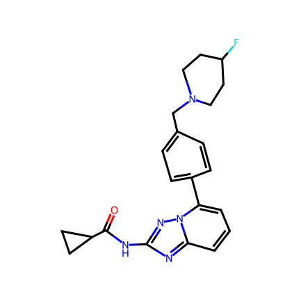 O=C(Nc1nc2cccc(-c3ccc(CN4CCC(F)CC4)cc3)n2n1)C1CC1